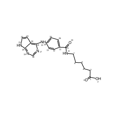 O=C(O)CCCCCNC(=O)c1ccc(Nc2ncnc3[nH]ccc23)cc1